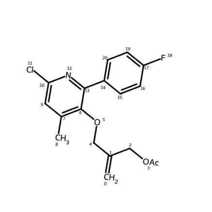 C=C(COC(C)=O)COc1c(C)cc(Cl)nc1-c1ccc(F)cc1